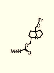 CNC(=O)OC[C@H]1CCC2(COC(C)C)CCCN12